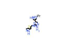 CC(C)N/C=C(\C=N)c1cnc(N)c(NCc2cc3[nH]ncc3s2)n1